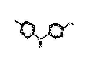 Cc1ccc([PH](=O)c2ccc(F)cc2)cc1